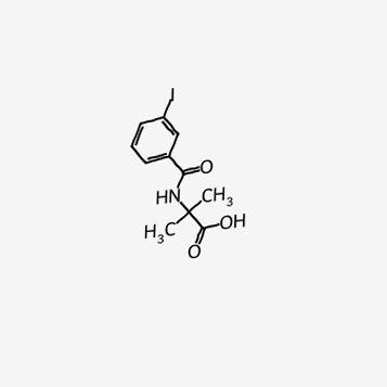 CC(C)(NC(=O)c1cccc(I)c1)C(=O)O